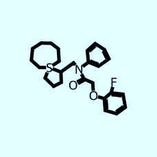 O=C(COc1ccccc1F)N(CC1CCCS12CCCCCCC2)c1ccccc1